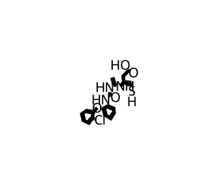 C=C(NC(=O)Nc1ccccc1Oc1ccccc1Cl)N/C(=C\S)CC(=O)O